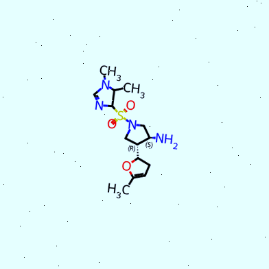 CC1=CCC([C@@H]2CN(S(=O)(=O)C3N=CN(C)C3C)C[C@H]2N)O1